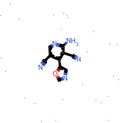 N#Cc1cnc(N)c(C#N)c1-c1cnco1